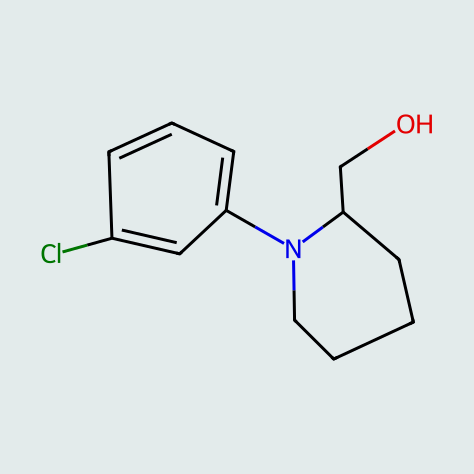 OCC1CCCCN1c1cccc(Cl)c1